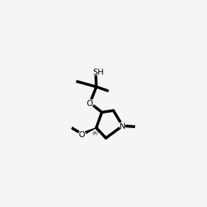 CO[C@@H]1CN(C)CC1OC(C)(C)S